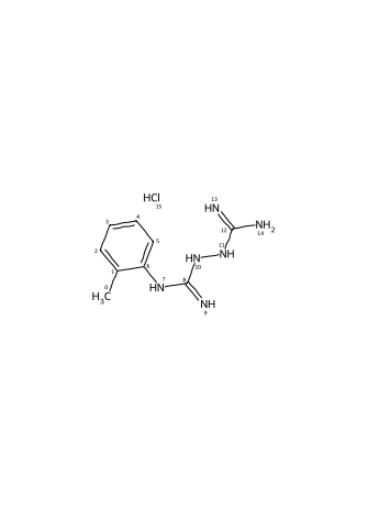 Cc1ccccc1NC(=N)NNC(=N)N.Cl